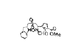 COC(=O)c1ccc(C(CS(=O)(=O)CC2Cc3ccccc3C2)N(O)C=O)s1